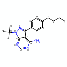 CCCCc1ccc(-c2nn(C(C)(C)C)c3ncnc(N)c23)cc1